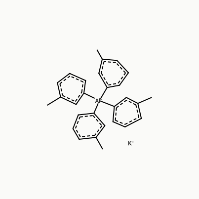 Cc1ccc[c]([Al-]([c]2cccc(C)c2)([c]2cccc(C)c2)[c]2cccc(C)c2)c1.[K+]